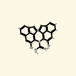 N=C(N)N(c1c(Br)cc2cccc3c2c1C=C3)c1c(Br)cc2cccc3c2c1C=C3